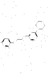 CCOc1ncccc1OCCOc1cncc(N2CCNCC2)n1